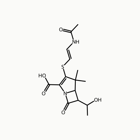 CC(=O)NC=CSC1=C(C(=O)O)N2C(=O)C(C(C)O)C2C1(C)C